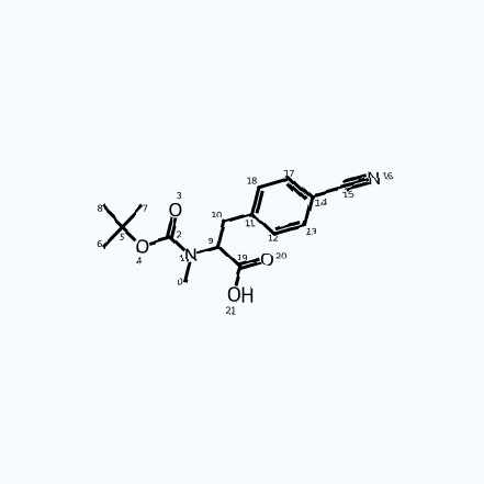 CN(C(=O)OC(C)(C)C)C(Cc1ccc(C#N)cc1)C(=O)O